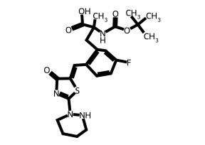 CC(C)(C)OC(=O)NC(C)(Cc1cc(F)ccc1/C=C1\SC(N2CCCCN2)=NC1=O)C(=O)O